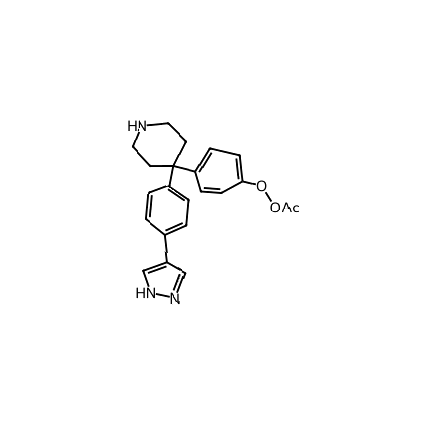 CC(=O)OOc1ccc(C2(c3ccc(-c4cn[nH]c4)cc3)CCNCC2)cc1